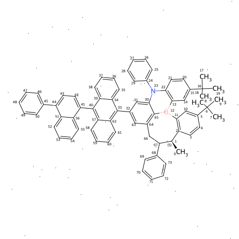 C[C@@H]1c2ccc(C(C)(C)C)cc2B2c3cc(C(C)(C)C)ccc3N(c3ccccc3)c3cc(-c4c5ccccc5c(-c5ccc(-c6ccccc6)c6ccccc56)c5ccccc45)cc(c32)CC1c1ccccc1